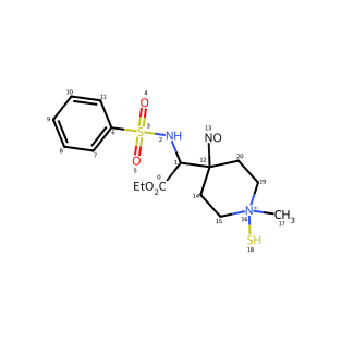 CCOC(=O)C(NS(=O)(=O)c1ccccc1)C1(N=O)CC[N+](C)(S)CC1